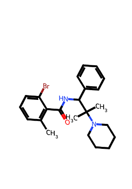 Cc1cccc(Br)c1C(=O)NC(c1ccccc1)C(C)(C)N1CCCCC1